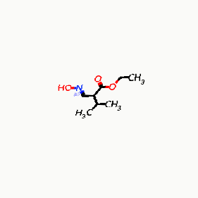 CCOC(=O)C(/C=N/O)C(C)C